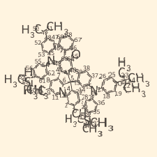 Cc1ccc(C2(c3ccc(C)cn3)c3cc(N(c4ccc(C(C)(C)C)cc4)c4ccc([Si](C)(C)C)cc4)ccc3-c3c2cc(N(c2ccc(C(C)C)cc2)c2ccc([SiH](C)C)cc2)c2c3oc3ccccc32)cc1